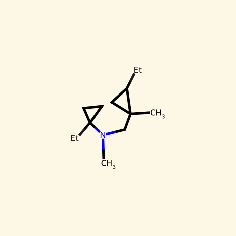 CCC1CC1(C)CN(C)C1(CC)CC1